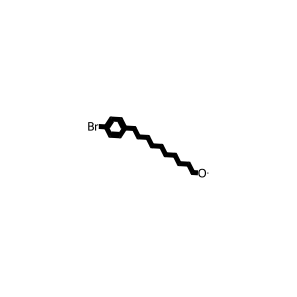 [O]CCCCCCCCCCc1ccc(Br)cc1